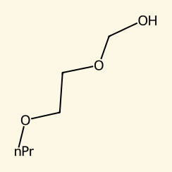 CCCOCCOCO